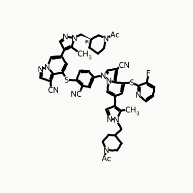 CC(=O)N1CCC(Cn2ncc(-c3cc(Sc4ncccc4F)c4c(C#N)c[n+](-c5ccc(Sc6cc(-c7cnn(C[C@@H]8CCCN(C(C)=O)C8)c7C)cn7ncc(C#N)c67)c(C#N)c5)n4c3)c2C)CC1